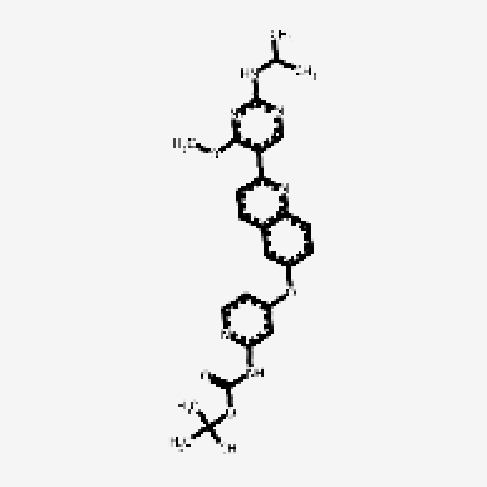 COc1nc(NC(C)C)ncc1-c1ccc2cc(Oc3ccnc(NC(=O)OC(C)(C)C)c3)ccc2n1